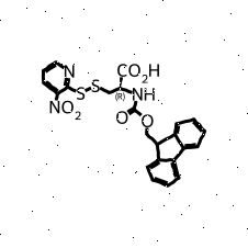 O=C(N[C@@H](CSSc1ncccc1[N+](=O)[O-])C(=O)O)OCC1c2ccccc2-c2ccccc21